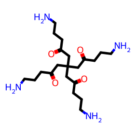 NCCCC(=O)CC(CC(=O)CCCN)(CC(=O)CCCN)CC(=O)CCCN